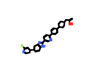 C=C(O)CC1CCC(c2ccc(-c3ccc(-c4nc5cc(C6C=C(F)N=CC6)ccc5[nH]4)cn3)cc2)CC1